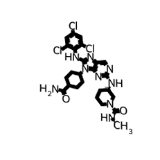 CNC(=O)N1CCC[C@@H](Nc2ncc3nc(Nc4c(Cl)cc(Cl)cc4Cl)n(C4CCC(C(N)=O)CC4)c3n2)C1